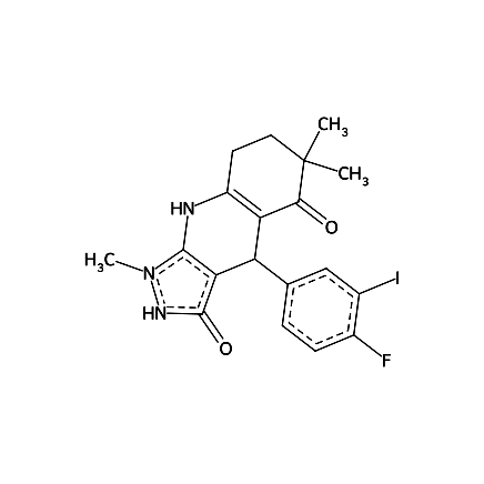 Cn1[nH]c(=O)c2c1NC1=C(C(=O)C(C)(C)CC1)C2c1ccc(F)c(I)c1